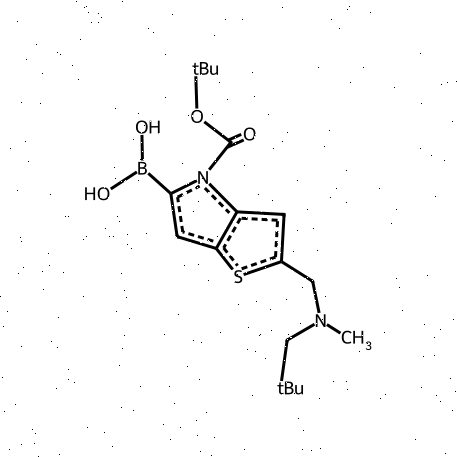 CN(Cc1cc2c(cc(B(O)O)n2C(=O)OC(C)(C)C)s1)CC(C)(C)C